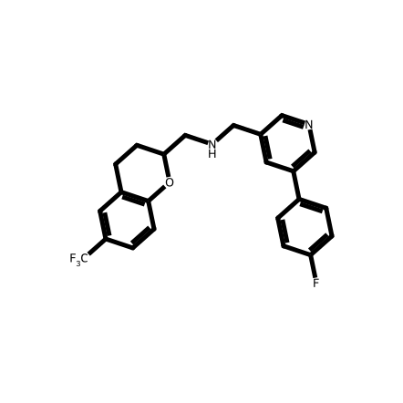 Fc1ccc(-c2cncc(CNCC3CCc4cc(C(F)(F)F)ccc4O3)c2)cc1